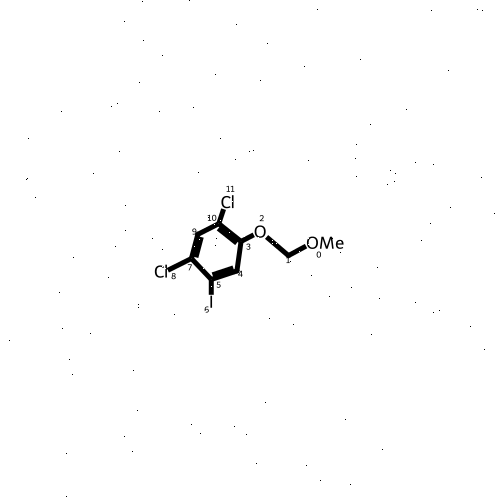 COCOc1cc(I)c(Cl)cc1Cl